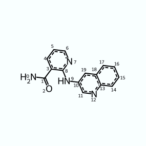 NC(=O)c1cccnc1Nc1cnc2ccccc2c1